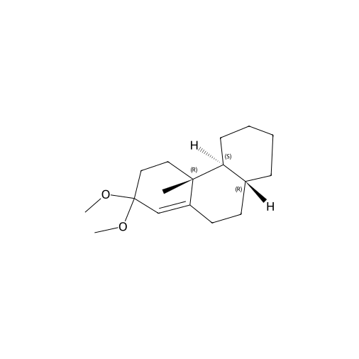 COC1(OC)C=C2CC[C@H]3CCCC[C@@H]3[C@@]2(C)CC1